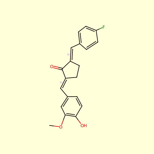 COc1cc(/C=C2\CC/C(=C\c3ccc(F)cc3)C2=O)ccc1O